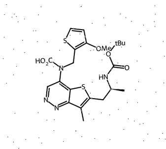 COc1ccsc1CN(C(=O)O)c1cnnc2c(C)c(C[C@H](C)NC(=O)OC(C)(C)C)sc12